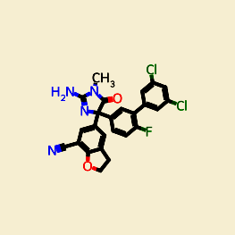 CN1C(=O)C(c2cc(C#N)c3c(c2)CCO3)(c2ccc(F)c(-c3cc(Cl)cc(Cl)c3)c2)N=C1N